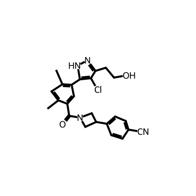 Cc1cc(C)c(-c2[nH]nc(CCO)c2Cl)cc1C(=O)N1CC(c2ccc(C#N)cc2)C1